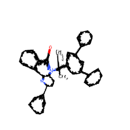 CC(C)(c1cc(-c2ccccc2)cc(-c2ccccc2)c1)n1c(=O)c2ccccc2c2nc(-c3ccccc3)ccc21